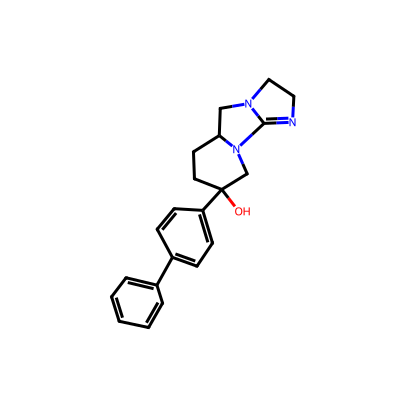 OC1(c2ccc(-c3ccccc3)cc2)CCC2CN3CCN=C3N2C1